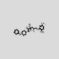 Cc1ccc(C)c(OCCCC(C)(C)C(=O)N[C@H]2CC[C@H](Oc3cnccn3)CC2)c1